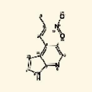 CC(=Cc1ccnc2[nH]ccc12)[N+](=O)[O-]